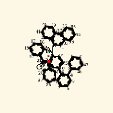 c1ccc(-c2ccccc2-c2ccc(N(c3ccccc3-c3cc4ccccc4o3)c3cc4ccccc4c4ccccc34)cc2)cc1